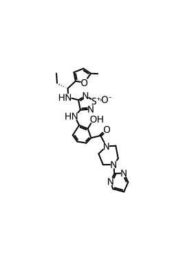 CC[C@@H](Nc1n[s+]([O-])nc1Nc1cccc(C(=O)N2CCN(c3ncccn3)CC2)c1O)c1ccc(C)o1